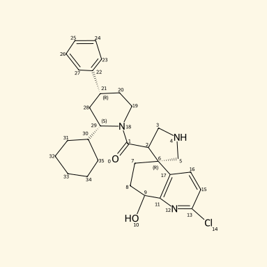 O=C(C1CNC[C@]12CCC(O)c1nc(Cl)ccc12)N1CC[C@@H](c2ccccc2)C[C@H]1C1CCCCC1